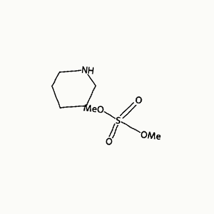 C1CCNCC1.COS(=O)(=O)OC